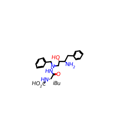 CC[C@H](C)[C@H](NC(=O)O)C(=O)NN(Cc1ccccc1)C[C@H](O)[C@@H](N)Cc1ccccc1